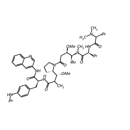 CC[C@H](C)[C@@H]([C@@H](CC(=O)N1CCC[C@H]1[C@H](OC)C(C)C(=O)N[C@@H](Cc1ccc(NC(C)C)cc1)C(=O)Nc1cnc2ccccc2c1)OC)N(C)C(=O)[C@@H](NC(=O)C(C(C)C)N(C)C)C(C)C